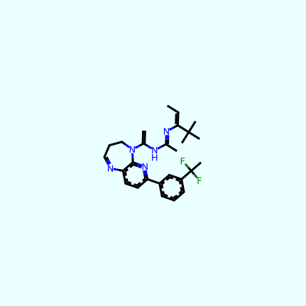 C=C(N/C(C)=N/C(=C\C)C(C)(C)C)N1CCC=Nc2ccc(-c3cccc(C(C)(F)F)c3)nc21